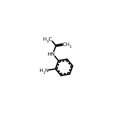 C=C(C)Nc1ccccc1N